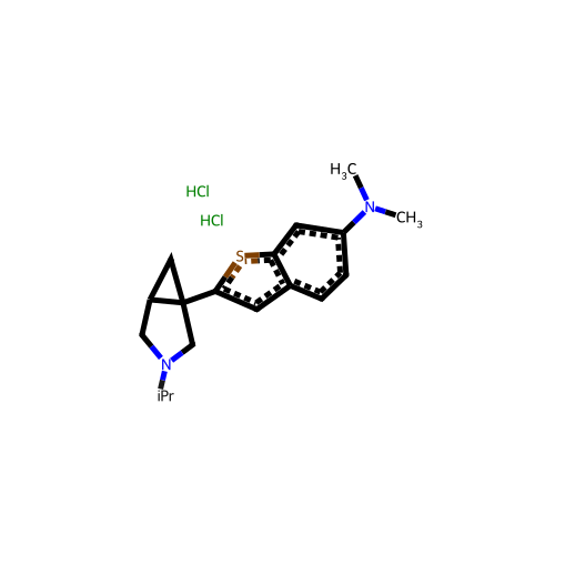 CC(C)N1CC2CC2(c2cc3ccc(N(C)C)cc3s2)C1.Cl.Cl